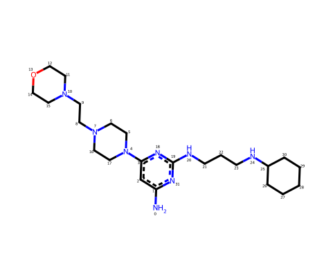 Nc1cc(N2CCN(CCN3CCOCC3)CC2)nc(NCCCNC2CCCCC2)n1